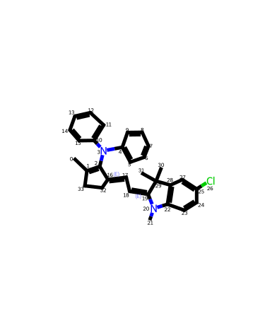 CC1=C(N(c2ccccc2)c2ccccc2)/C(=C/C=C2/N(C)c3ccc(Cl)cc3C2(C)C)CC1